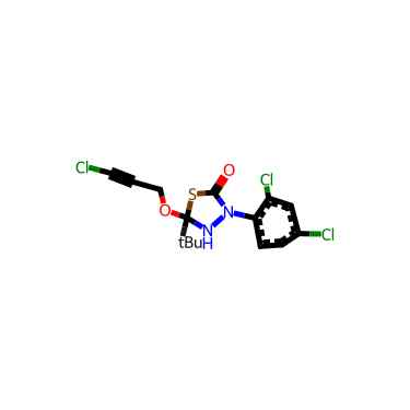 CC(C)(C)C1(OCC#CCl)NN(c2ccc(Cl)cc2Cl)C(=O)S1